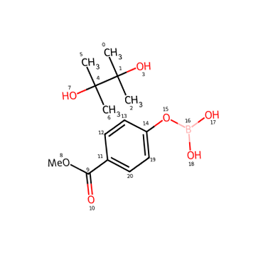 CC(C)(O)C(C)(C)O.COC(=O)c1ccc(OB(O)O)cc1